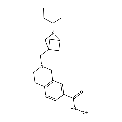 CCC(C)N1CC2(CN3CCc4ncc(C(=O)NO)cc4C3)CC1C2